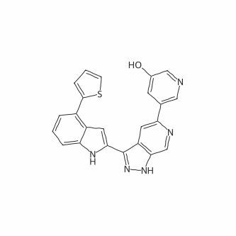 Oc1cncc(-c2cc3c(-c4cc5c(-c6cccs6)cccc5[nH]4)n[nH]c3cn2)c1